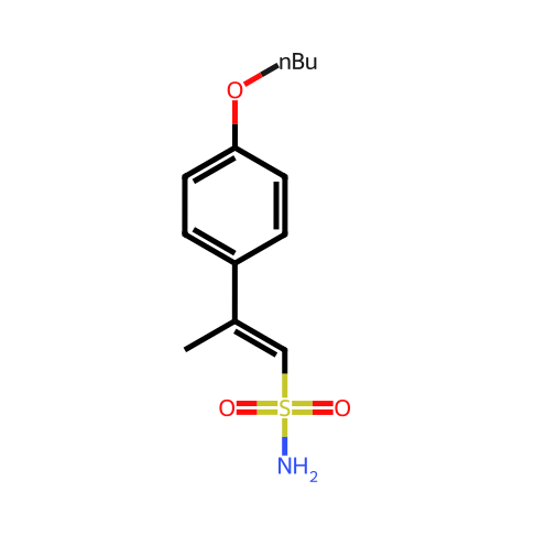 CCCCOc1ccc(C(C)=CS(N)(=O)=O)cc1